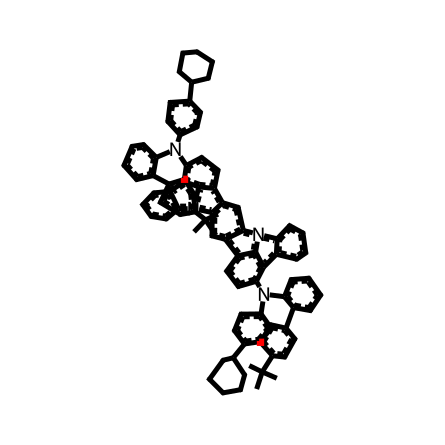 CC(C)(C)c1ccc(-c2ccccc2N(c2ccc(C3CCCCC3)cc2)c2ccc3c4cc5c(cc4n4c6ccccc6c2c34)c2ccc(N(c3ccc(C4CCCCC4)cc3)c3ccccc3-c3ccc(C(C)(C)C)cc3)c3c4ccccc4n5c23)cc1